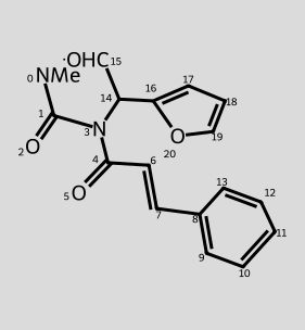 CNC(=O)N(C(=O)C=Cc1ccccc1)C([C]=O)c1ccco1